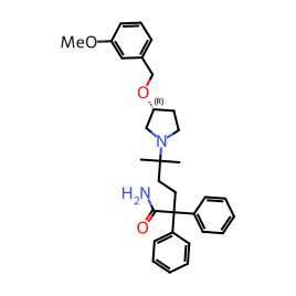 COc1cccc(CO[C@@H]2CCN(C(C)(C)CCC(C(N)=O)(c3ccccc3)c3ccccc3)C2)c1